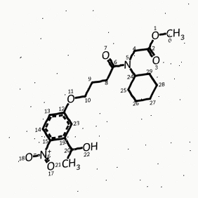 COC(=O)CN(C(=O)CCCOc1ccc([N+](=O)[O-])c(C(C)O)c1)C1CCCCC1